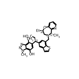 CC[C@@H]1CN(Cc2cc([C@H](CC(=O)O)c3cc(O)c4c(nnn4C)c3C)cc3ccsc23)[C@@H](C)c2ncccc2O1